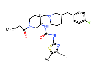 COCC(=O)N1CC[C@@H](CN2CCCC(Cc3ccc(F)cc3)C2)[C@@H](NC(=O)Nc2nc(C)c(C(C)=O)s2)C1